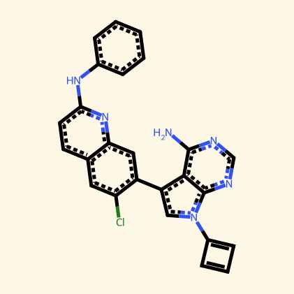 Nc1ncnc2c1c(-c1cc3nc(Nc4ccccc4)ccc3cc1Cl)cn2C1=CC=C1